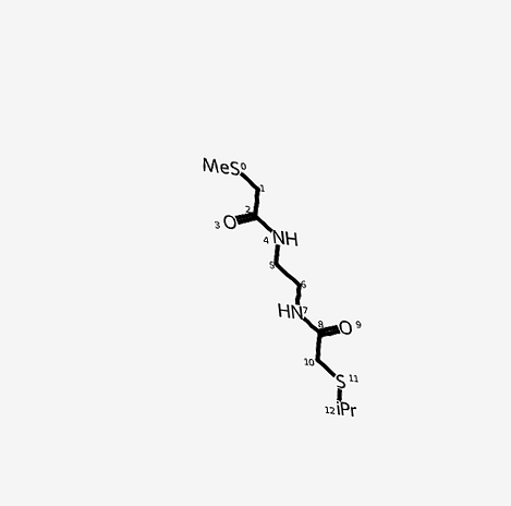 CSCC(=O)NCCNC(=O)CSC(C)C